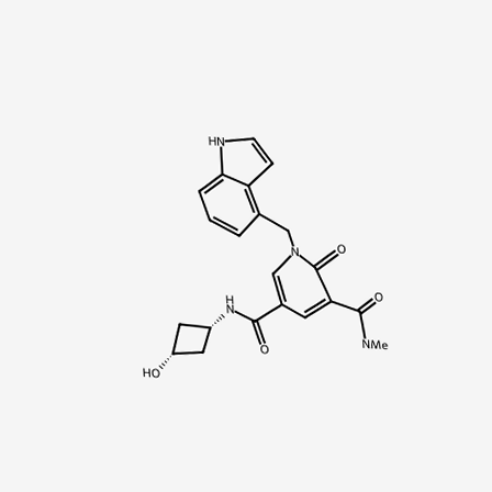 CNC(=O)c1cc(C(=O)N[C@H]2C[C@@H](O)C2)cn(Cc2cccc3[nH]ccc23)c1=O